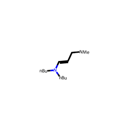 CCCCN(C=CCNC)CCCC